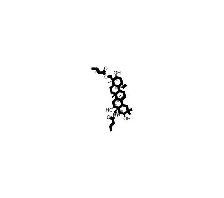 C=C[C@]12CC[C@H](O)[C@](C)(COC(=O)/C=C/C)C1CC[C@]1(C)C2CC=C2C3CC(C)(C)[C@@H](O)[C@H](O)[C@]3(COC(=O)/C=C/C)[C@H](O)C[C@]21C